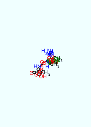 CC[C@H]1O[C@@H](n2cnc3c(N)ncnc32)[C@@H](OCCC(COC(=O)CCC(=O)Nc2ccc(-c3c4ccc(=O)cc-4oc4cc(O)ccc34)c(C(=O)OC)c2)NC(F)(F)C(F)(F)C(F)(F)C(F)(F)C(F)(F)C(F)(F)C(F)(F)C(F)(F)F)C1OP(=O)(S)OC